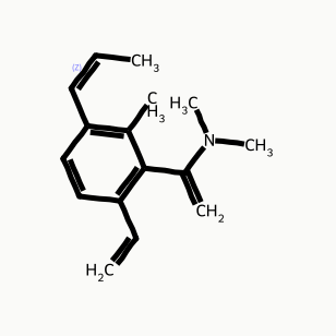 C=Cc1ccc(/C=C\C)c(C)c1C(=C)N(C)C